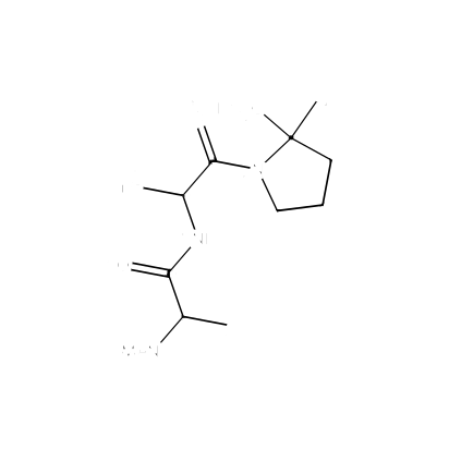 CNC(C)C(=O)NC(C(=O)N1CCCC1(C)C(=O)O)C(C)C